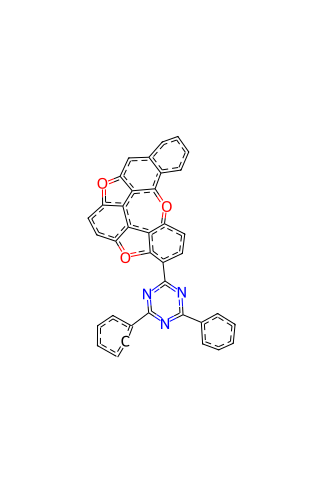 c1ccc(-c2nc(-c3ccccc3)nc(-c3ccc4oc5c6ccccc6cc6oc7ccc8oc3c4c8c7c65)n2)cc1